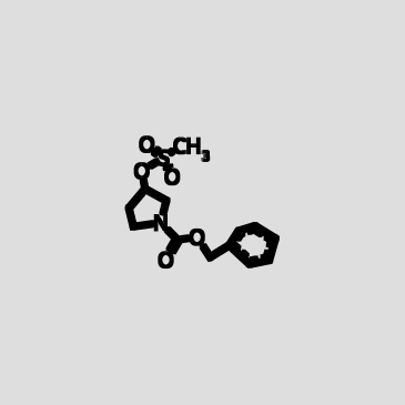 CS(=O)(=O)OC1CCN(C(=O)OCc2ccccc2)C1